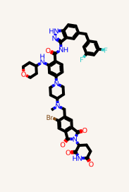 CN(Cc1cc2c(cc1Br)C(=O)N(C1CCC(=O)NC1=O)C2=O)C1CCN(c2ccc(C(=O)Nc3n[nH]c4ccc(Cc5cc(F)cc(F)c5)cc34)c(NC3CCOCC3)c2)CC1